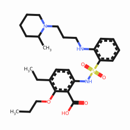 CCCOc1c(CC)ccc(NS(=O)(=O)c2ccccc2NCCCN2CCCCC2C)c1C(=O)O